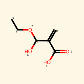 C=C(C(=O)O)C(O)OCC